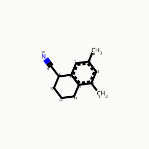 Cc1cc(C)c2c(c1)C(C#N)CCC2